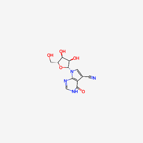 N#Cc1cn([C@@H]2O[C@H](CO)[C@@H](O)[C@H]2O)c2nc[nH]c(=O)c12